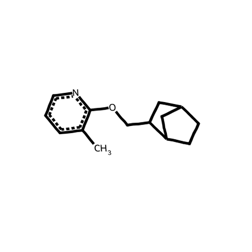 Cc1cccnc1OCC1CC2CCC1C2